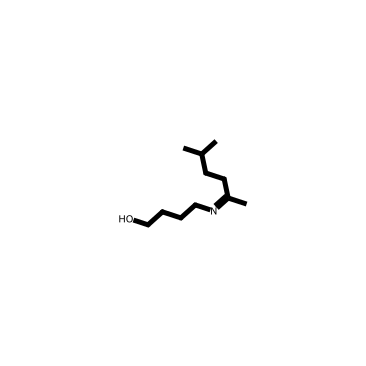 CC(CCC(C)C)=NCC[CH]CO